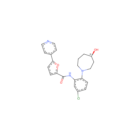 O=C(Nc1cc(Cl)ccc1N1CCC[C@@H](O)CC1)c1ccc(-c2ccncc2)o1